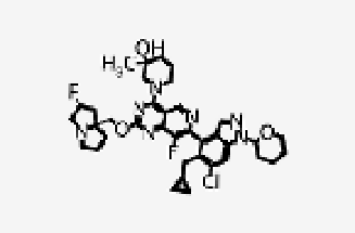 C[C@@]1(O)CCCN(c2nc(OC[C@@]34CCCN3C[C@H](F)C4)nc3c(F)c(-c4c(CC5CC5)c(Cl)cc5c4cnn5C4CCCCO4)ncc23)C1